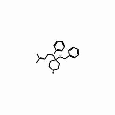 CC(C)=CCN(c1ccccc1)C1(OCc2ccccc2)CCNCC1